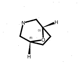 C1C[C@H]2C[N]C[C@@H]1O2